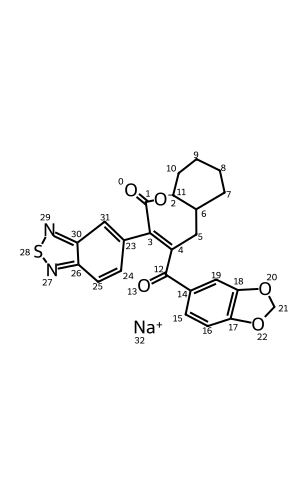 O=C([O-])/C(=C(\CC1CCCCC1)C(=O)c1ccc2c(c1)OCO2)c1ccc2nsnc2c1.[Na+]